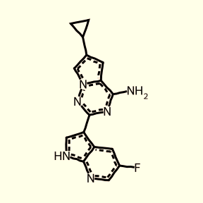 Nc1nc(-c2c[nH]c3ncc(F)cc23)nn2cc(C3CC3)cc12